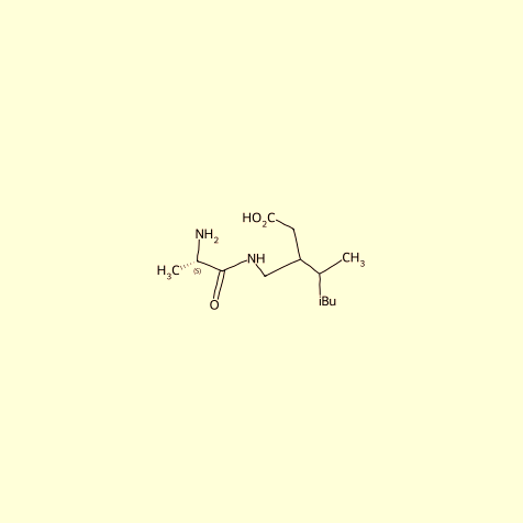 CCC(C)C(C)C(CNC(=O)[C@H](C)N)CC(=O)O